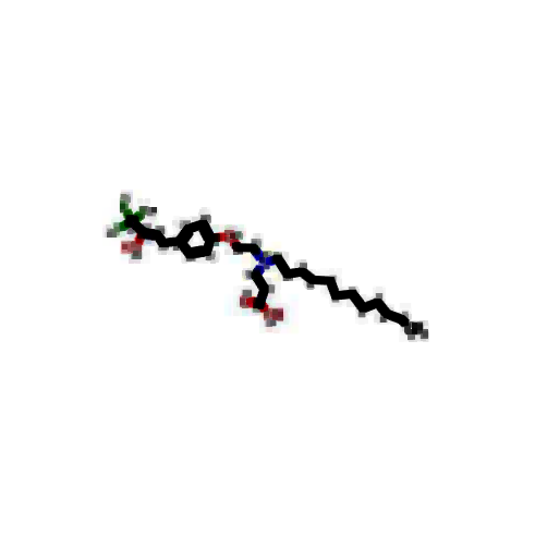 CCCCCCCCCCCCN(CCOc1ccc(C/C=C(\O)C(F)(F)F)cc1)CCC(=O)O